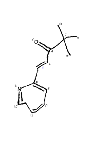 CC(C)(C)C(=O)/C=C/c1ccccn1